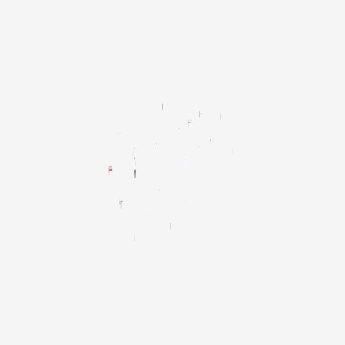 C/C(=C(/C(C)(C(F)(F)F)C(F)(F)F)C(F)(C(F)(F)F)C(F)(F)F)C(F)(F)F